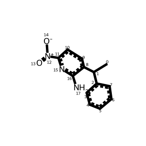 CC(c1ccccc1)c1ccc([N+](=O)[O-])nc1N